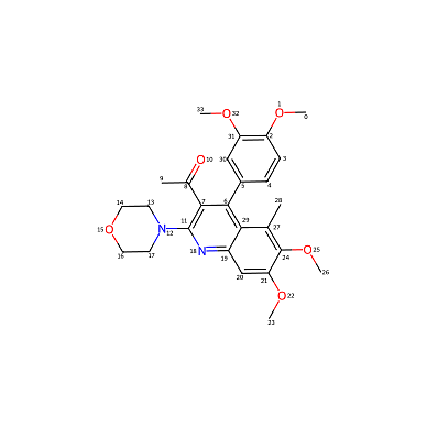 COc1ccc(-c2c(C(C)=O)c(N3CCOCC3)nc3cc(OC)c(OC)c(C)c23)cc1OC